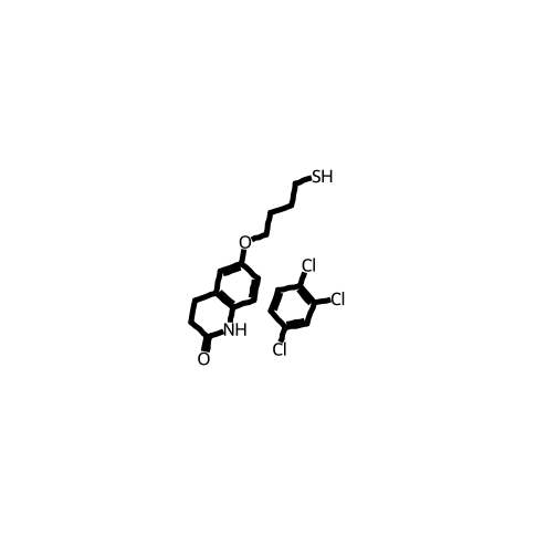 Clc1ccc(Cl)c(Cl)c1.O=C1CCc2cc(OCCCCS)ccc2N1